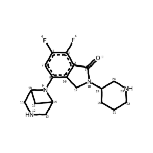 O=C1c2c(F)c(F)cc(N3C4CNCC3C4)c2CN1C1CCCNC1